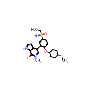 CCS(=N)(=O)c1ccc(OC2CCC(OC)CC2)c(-c2cn(C)c(=O)c3[nH]ccc23)c1